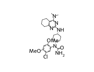 COc1cc(OC)c(N(C(N)=O)[C@H]2CC[C@@H](Nc3nc4c(c(N(C)C)n3)CCCC4)CC2)cc1Cl